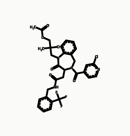 CC(=O)OCC(C)(C)CN1C(=O)C(CC(=O)NCc2ccccc2C(F)(F)F)N(C(=O)c2ccnc(Cl)c2)Cc2ccccc21